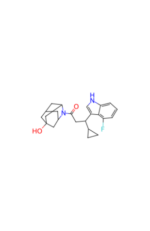 O=C(CC(c1c[nH]c2cccc(F)c12)C1CC1)N1C2CC3CC1CC(O)(C3)C2